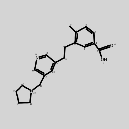 Cc1ccc(C(=O)O)cc1CCc1cncc(CN2CCCC2)c1